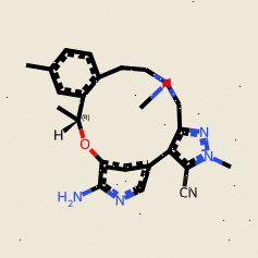 Cc1ccc2c(c1)[C@@H](C)Oc1cc(cnc1N)-c1c(nn(C)c1C#N)C1CC(C2)N1C